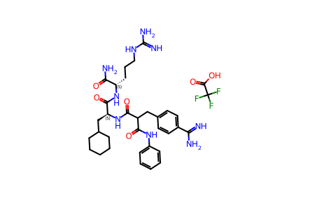 N=C(N)NCCC[C@H](NC(=O)[C@H](CC1CCCCC1)NC(=O)C(Cc1ccc(C(=N)N)cc1)C(=O)Nc1ccccc1)C(N)=O.O=C(O)C(F)(F)F